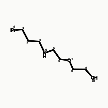 CC(C)CCCNCCOCCO